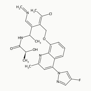 C=N/C=C(\C(COc1cccc2c(-n3cc(F)cn3)cc(C)nc12)=C(/C)Cl)C(C)NC(=O)[C@H](C)O